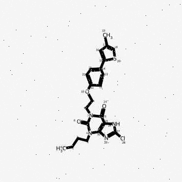 CCCCn1c(=O)n(CCOc2ccc(-c3cc(C)cs3)cc2)c(=O)c2[nH]c(Cl)nc21